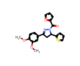 COc1ccc(C2=NN(C(=O)c3ccco3)C(c3cccs3)C2)cc1OC